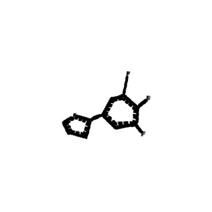 Fc1cc(-c2cccs2)cc(F)c1F